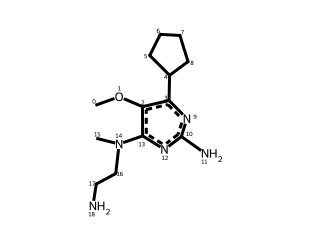 COc1c(C2CCCC2)nc(N)nc1N(C)CCN